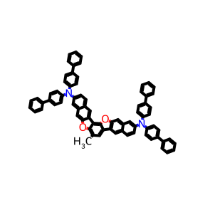 Cc1cc2c3cc4ccc(N(c5ccc(-c6ccccc6)cc5)c5ccc(-c6ccccc6)cc5)cc4cc3oc2c2c1oc1cc3cc(N(c4ccc(-c5ccccc5)cc4)c4ccc(-c5ccccc5)cc4)ccc3cc12